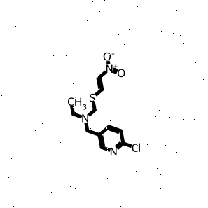 CCN(CSC=C[N+](=O)[O-])Cc1ccc(Cl)nc1